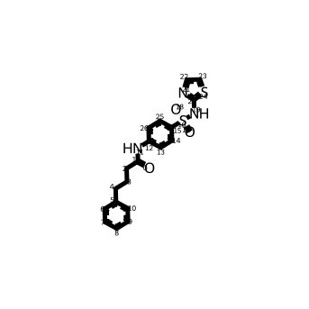 O=C(CCCc1ccccc1)Nc1ccc(S(=O)(=O)Nc2nccs2)cc1